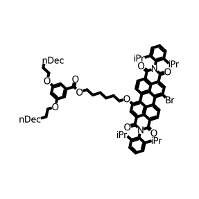 CCCCCCCCCCCCOc1cc(OCCCCCCCCCCCC)cc(C(=O)OCCCCCCOc2cc3c4c(ccc5c6c(Br)cc7c8c(ccc(c2c45)c86)C(=O)N(c2c(C(C)C)cccc2C(C)C)C7=O)C(=O)N(c2c(C(C)C)cccc2C(C)C)C3=O)c1